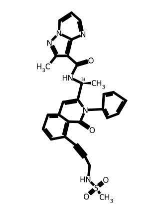 Cc1nn2cccnc2c1C(=O)N[C@@H](C)c1cc2cccc(C#CCNS(C)(=O)=O)c2c(=O)n1-c1ccccc1